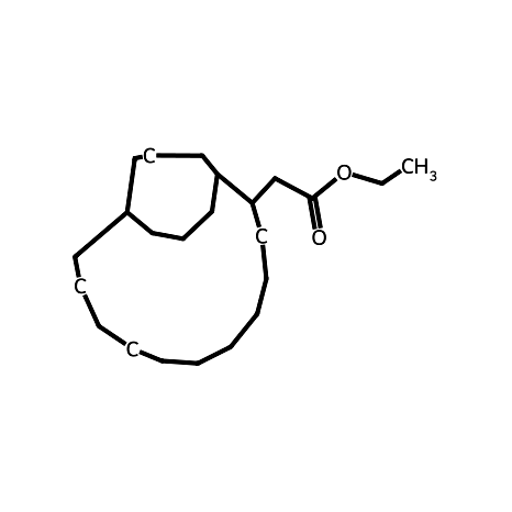 CCOC(=O)CC1CCCCCCCCCCC2CCCC1CCC2